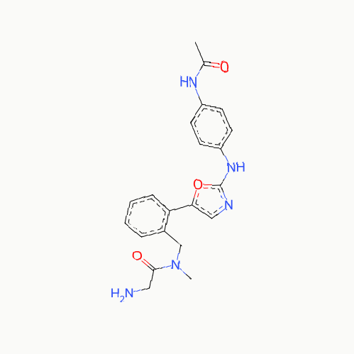 CC(=O)Nc1ccc(Nc2ncc(-c3ccccc3CN(C)C(=O)CN)o2)cc1